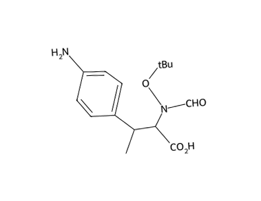 CC(c1ccc(N)cc1)C(C(=O)O)N(C=O)OC(C)(C)C